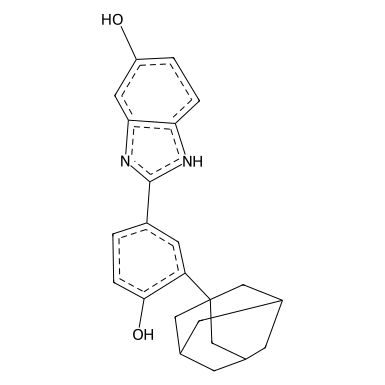 Oc1ccc2[nH]c(-c3ccc(O)c(C45CC6CC(CC(C6)C4)C5)c3)nc2c1